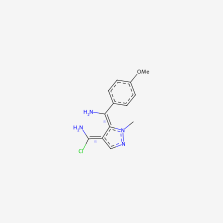 COc1ccc(/C(N)=c2/c(=C(\N)Cl)cnn2C)cc1